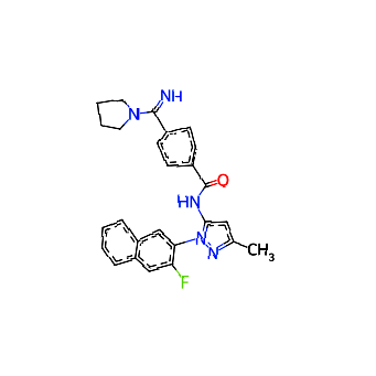 Cc1cc(NC(=O)c2ccc(C(=N)N3CCCC3)cc2)n(-c2cc3ccccc3cc2F)n1